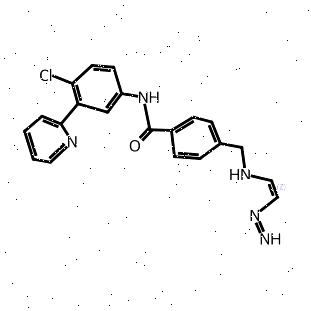 N=N/C=C\NCc1ccc(C(=O)Nc2ccc(Cl)c(-c3ccccn3)c2)cc1